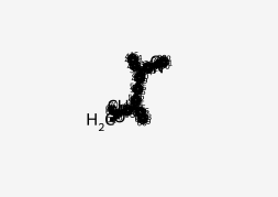 C=Cc1oc(-c2ccc(N(c3ccc(-c4ccc(-c5ccc(N(c6ccc(-c7nc8ccccc8o7)cc6)c6ccc7c(c6)CCC=C7)cc5)cc4)cc3)c3ccc4ccccc4c3)cc2)nc1/C=C\C